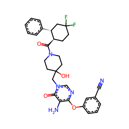 N#Cc1cccc(Oc2ncn(CC3(O)CCN(C(=O)[C@@H]4CCC(F)(F)C[C@H]4c4ccccc4)CC3)c(=O)c2N)c1